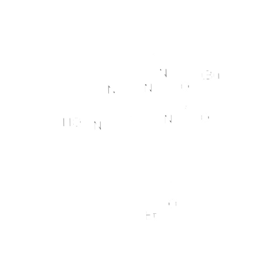 CCOc1ccc(N(C(=O)OC(C)(C)C)c2c3c(nc4ccnn24)N(O)CC3)cc1